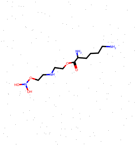 NCCCCC(N)C(=O)OCCNCCON(O)O